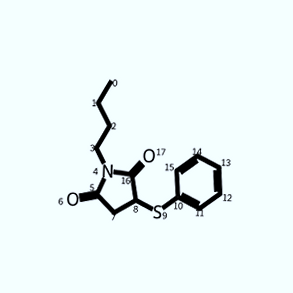 CCCCN1C(=O)CC(Sc2ccccc2)C1=O